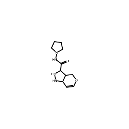 O=C(NN1CCCC1)C1NNC2C=COCC21